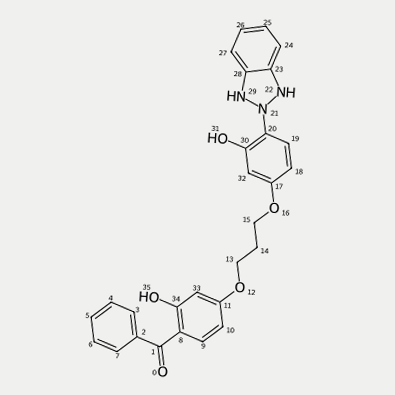 O=C(c1ccccc1)c1ccc(OCCCOc2ccc(N3Nc4ccccc4N3)c(O)c2)cc1O